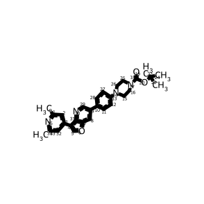 Cc1cc(-c2coc3cc(-c4ccc(N5CCN(C(=O)OC(C)(C)C)CC5)cc4)cnc23)cc(C)n1